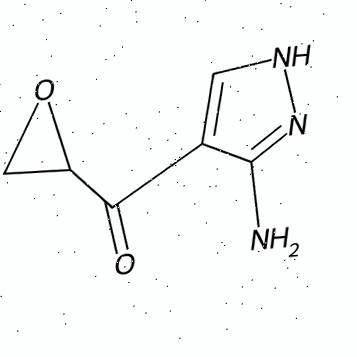 Nc1n[nH]cc1C(=O)C1CO1